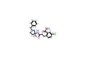 N#CC1(NC(=O)[CH]Cc2ccc(Cl)cc2C(N)=O)CCN(Cc2ccccc2)C1